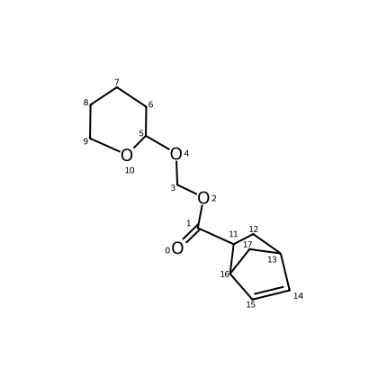 O=C(OCOC1CCCCO1)C1CC2C=CC1C2